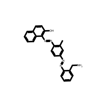 Cc1cc(N=Nc2ccccc2CN)ccc1N=Nc1c(O)ccc2ccccc12